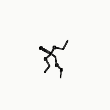 CCOP(=O)(COSI)OCC